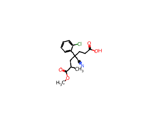 COC(=O)C(C)CC(C#N)(CCC(=O)O)c1ccccc1Cl